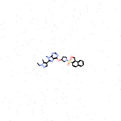 CCn1ncc(-c2nc3c(OC4CCN(S(=O)(=O)c5ccc6ccccc6c5C=O)C4)ncnc3n2C)c1C